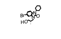 C[C@H](CO)Cn1c(=O)n(C2CCCCC2)c2ccc(Br)cc21